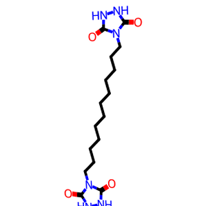 O=c1[nH][nH]c(=O)n1CCCCCCCCCCCCn1c(=O)[nH][nH]c1=O